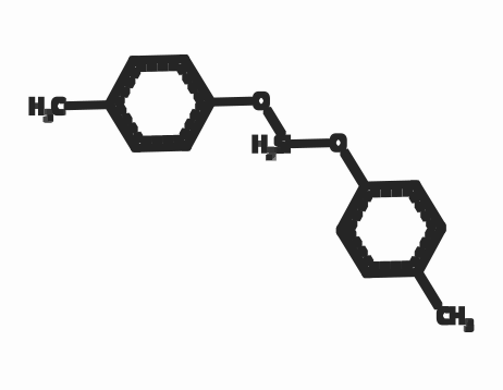 Cc1ccc(O[SiH2]Oc2ccc(C)cc2)cc1